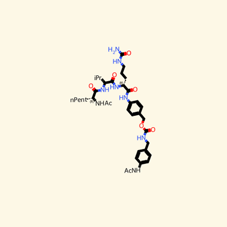 CCCCC[C@@H](NC(C)=O)C(=O)NC(C(=O)N[C@H](CCCNC(N)=O)C(=O)Nc1ccc(COC(=O)NCc2ccc(NC(C)=O)cc2)cc1)C(C)C